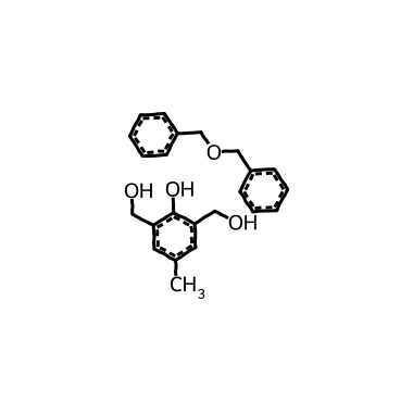 Cc1cc(CO)c(O)c(CO)c1.c1ccc(COCc2ccccc2)cc1